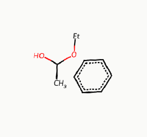 CCOC(C)O.c1ccccc1